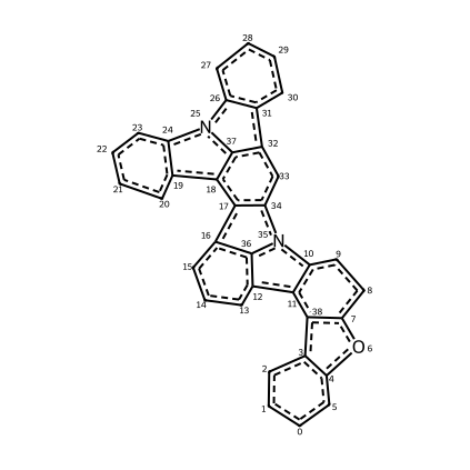 c1ccc2c(c1)oc1ccc3c(c4cccc5c6c7c8ccccc8n8c9ccccc9c(cc6n3c45)c78)c12